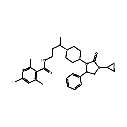 Cc1cc(Cl)nc(C)c1C(=O)NCCC(C)N1CCC(N2C(=O)N(C3CC3)CC2c2ccccc2)CC1